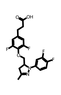 CC1=NN(c2ccc(F)c(F)c2)C(COc2c(F)cc(CCC(=O)O)cc2F)C1